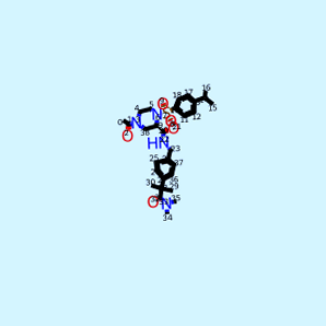 CC(=O)N1CCN(S(=O)(=O)c2ccc(C(C)C)cc2)[C@@H](C(=O)NCc2ccc(C(C)(C)C(=O)N(C)C)cc2)C1